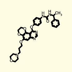 CC(NC(=O)Nc1ccc(Oc2ncnc3cc(OCCCN4CCOCC4)c4c(c23)OCCO4)cc1)c1ccccc1